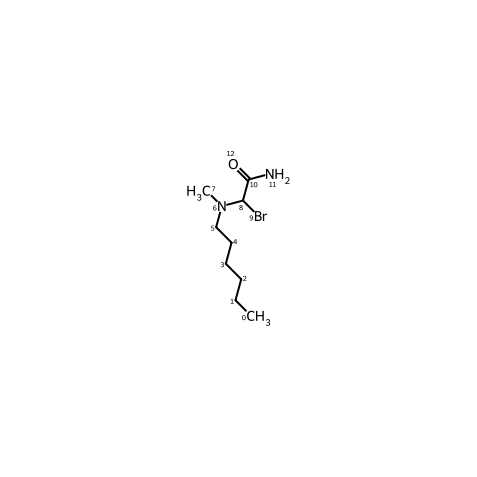 CCCCCCN(C)C(Br)C(N)=O